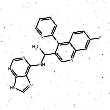 CC(Nc1ncnc2[nH]cnc12)c1cnc2cc(F)ccc2c1-c1ccccn1